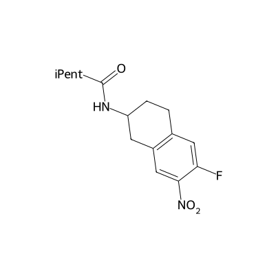 CCCC(C)C(=O)NC1CCc2cc(F)c([N+](=O)[O-])cc2C1